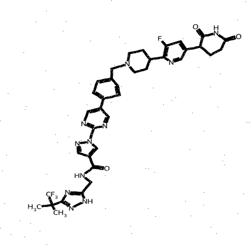 CC(C)(c1n[nH]c(CNC(=O)c2cnn(-c3ncc(-c4ccc(CN5CCC(c6ncc(C7CCC(=O)NC7=O)cc6F)CC5)cc4)cn3)c2)n1)C(F)(F)F